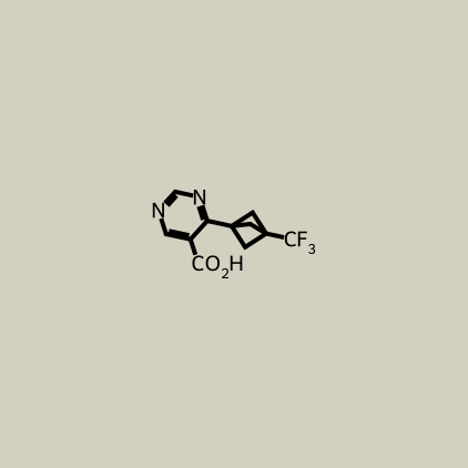 O=C(O)c1cncnc1C12CC(C(F)(F)F)(C1)C2